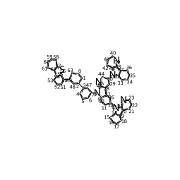 c1cc(-c2cccc(-n3c4ccc(-n5c6ccccc6c6cccnc65)cc4c4cc(-n5c6ccccc6c6ncccc65)cnc43)c2)cc(-c2cccc3c2sc2ccccc23)c1